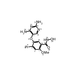 COc1cc(C(C)C)c(Oc2cnc(N)nc2N)cc1C(=O)NO